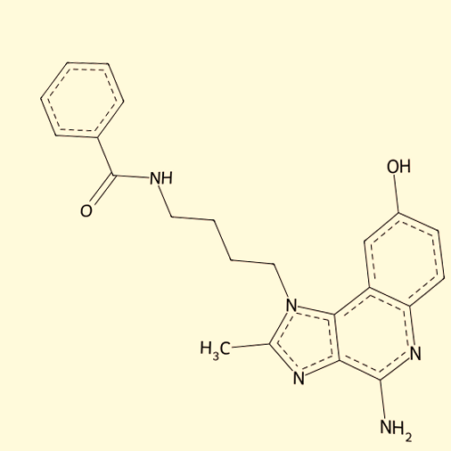 Cc1nc2c(N)nc3ccc(O)cc3c2n1CCCCNC(=O)c1ccccc1